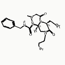 CC(C)CCN1C[C@H]2N(C(=O)CN(C)N2C(=O)NCc2ccccc2)[C@@H](CC(C)C)C1=O